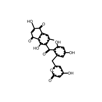 Cc1cc2c(c(O)c1C(=O)c1c(O)cc(O)cc1Cc1cc(O)cc(=O)o1)C(=O)C=C(O)C2=O